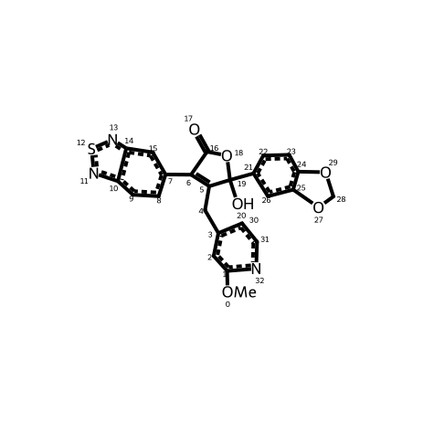 COc1cc(CC2=C(c3ccc4nsnc4c3)C(=O)OC2(O)c2ccc3c(c2)OCO3)ccn1